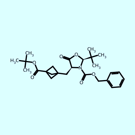 CC(C)(C)OC(=O)C12CC(C[C@H]3C(=O)O[C@@H](C(C)(C)C)N3C(=O)OCc3ccccc3)(C1)C2